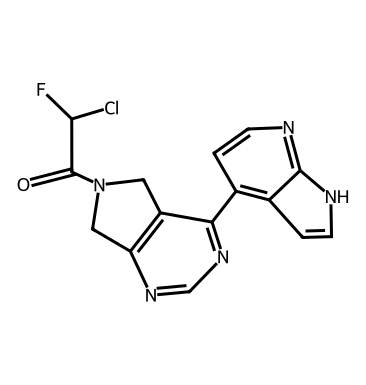 O=C(C(F)Cl)N1Cc2ncnc(-c3ccnc4[nH]ccc34)c2C1